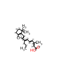 CCCC(C=CC1=C(C)CCCC1(C)C)=CC=CC(C)=CC(=O)O